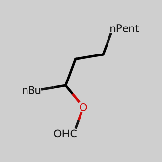 CCCCCCCC(CCCC)OC=O